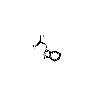 C=C(C)On1nnc2ccccc21